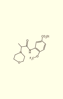 CCOC(=O)c1ccc(OC(F)(F)F)c(NC(=O)C(C)N2CCOCC2)c1